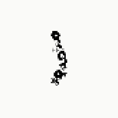 O=C(NC1CCN(CC2CN(c3ccc([N+](=O)[O-])cc3F)C2)CC1)OCc1ccccc1